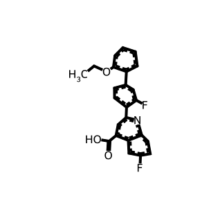 CCOc1ccccc1-c1ccc(-c2cc(C(=O)O)c3cc(F)ccc3n2)c(F)c1